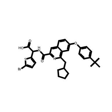 CC(C)(C)c1ccc(Oc2ccc3cc(C(=O)NC(C(=O)O)c4ccc(Br)s4)nc(CC4CCCC4)c3c2)cc1